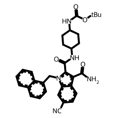 CC(C)(C)OC(=O)NC1CCC(NC(=O)c2c(C(N)=O)c3ccc(C#N)cc3n2Cc2cccc3ccccc23)CC1